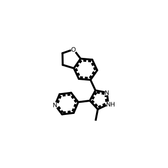 Cc1[nH]nc(-c2ccc3c(c2)CCO3)c1-c1ccncc1